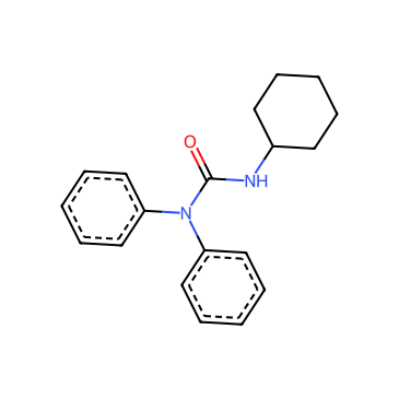 O=C(NC1CCCCC1)N(c1ccccc1)c1ccccc1